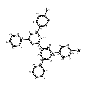 Brc1ccc(-c2cc(-c3ccccc3)cc(-c3cc(-c4ccccc4)cc(-c4ccc(Br)cc4)n3)n2)cc1